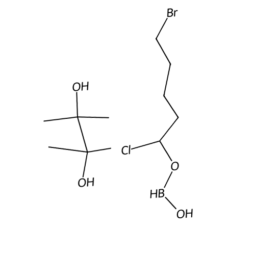 CC(C)(O)C(C)(C)O.OBOC(Cl)CCCCBr